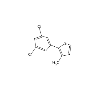 Cc1ccsc1-c1cc(Cl)cc(Cl)c1